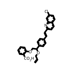 C=CCOC(COc1ccccc1C(=O)O)c1ccc(/C=C/c2ccc3ccc(Cl)cc3n2)cc1